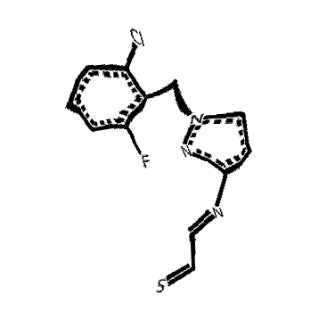 Fc1cccc(Cl)c1Cn1ccc(N=CC=S)n1